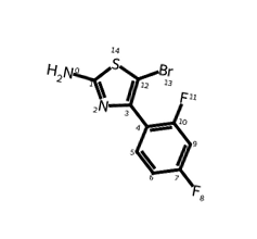 Nc1nc(-c2ccc(F)cc2F)c(Br)s1